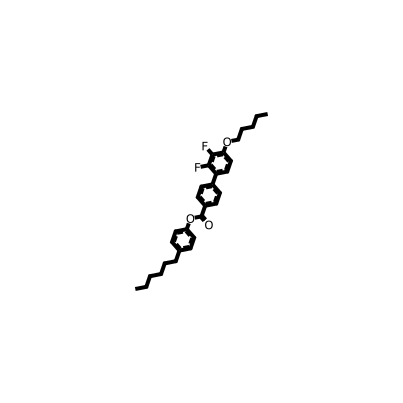 CCCCCCc1ccc(OC(=O)c2ccc(-c3ccc(OCCCCC)c(F)c3F)cc2)cc1